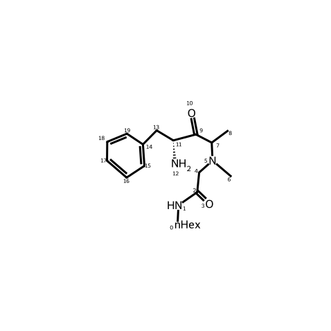 CCCCCCNC(=O)CN(C)C(C)C(=O)[C@H](N)Cc1ccccc1